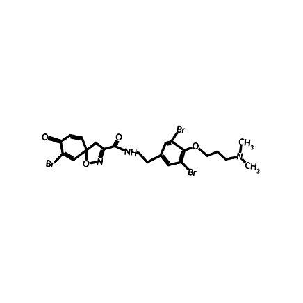 CN(C)CCCOc1c(Br)cc(CCNC(=O)C2=NOC3(C=CC(=O)C(Br)=C3)C2)cc1Br